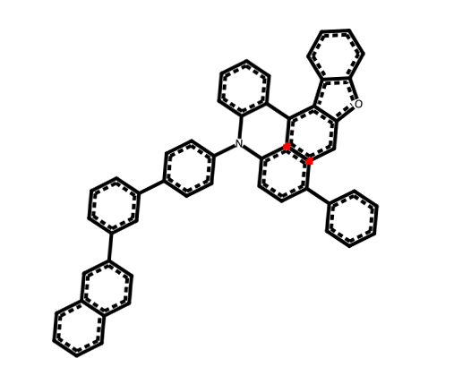 c1ccc(-c2ccc(N(c3ccc(-c4cccc(-c5ccc6ccccc6c5)c4)cc3)c3ccccc3-c3cccc4oc5ccccc5c34)cc2)cc1